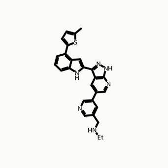 CCNCc1cncc(-c2cnc3[nH]nc(-c4cc5c(-c6ccc(C)s6)cccc5[nH]4)c3c2)c1